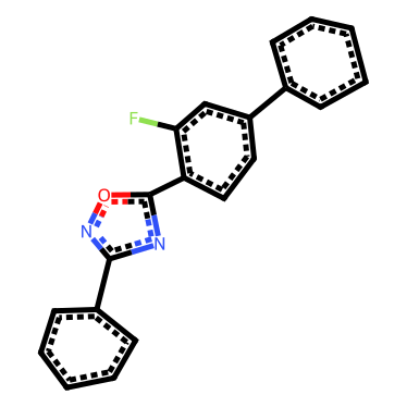 Fc1cc(-c2ccccc2)ccc1-c1nc(-c2ccccc2)no1